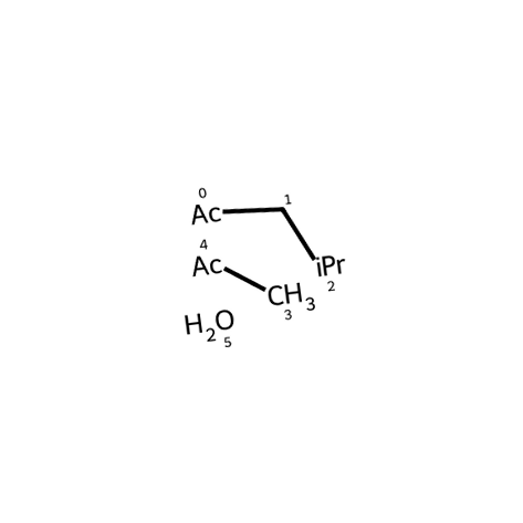 CC(=O)CC(C)C.CC(C)=O.O